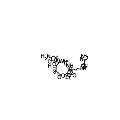 CC[C@H]1OC(=O)[C@H](C)C(=O)[C@H](C)[C@@H](O[C@@H]2OC(C)CC(N)C2O)[C@](C)(OC)C[C@@H](C)CN[C@H](C)[C@H]2N(CCCCn3cc(-c4cccnn4)nn3)C(=O)O[C@]12C